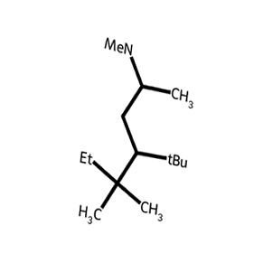 CCC(C)(C)C(CC(C)NC)C(C)(C)C